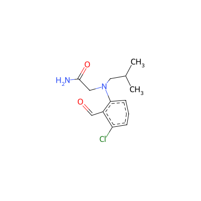 CC(C)CN(CC(N)=O)c1cccc(Cl)c1C=O